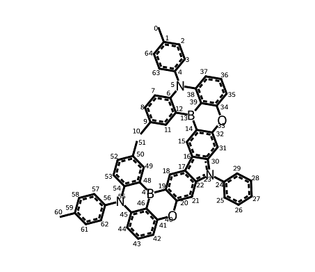 Cc1ccc(N2c3ccc(C)cc3B3c4cc5c6cc7c(cc6n(-c6ccccc6)c5cc4Oc4cccc2c43)Oc2cccc3c2B7c2cc(C)ccc2N3c2ccc(C)cc2)cc1